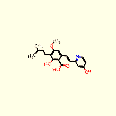 C=C(C)CCc1c(OC)cc(C=Cc2cc(O)ccn2)c(C(=O)O)c1O